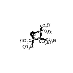 CCOC(=O)CCC(C(=O)OCC)N1CCN(C(CCC(=O)OCC)C(=O)OCC)Cc2cccc(n2)CN(C(CCC(=O)OCC)C(=O)OCC)CC1